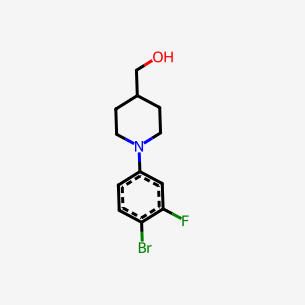 OCC1CCN(c2ccc(Br)c(F)c2)CC1